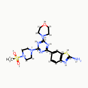 CS(=O)(=O)N1CCN(c2nc(-c3ccc4nc(N)sc4c3)nc(N3CCOCC3)n2)CC1